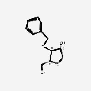 OC[C@@H]1SC[C@@H](O)[C@@H]1OCc1ccccc1